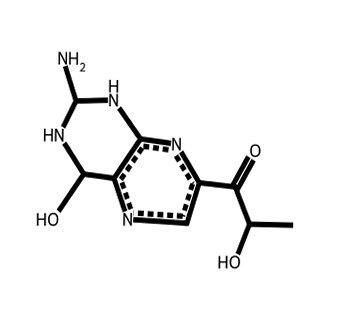 CC(O)C(=O)c1cnc2c(n1)NC(N)NC2O